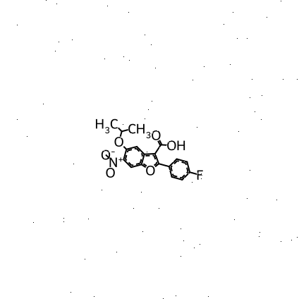 CC(C)Oc1cc2c(C(=O)O)c(-c3ccc(F)cc3)oc2cc1[N+](=O)[O-]